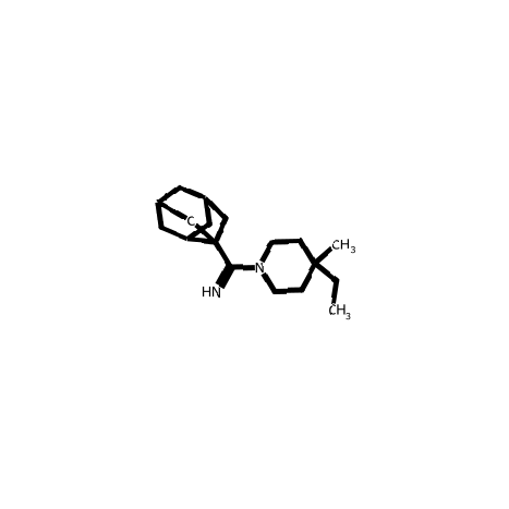 CCC1(C)CCN(C(=N)C23CC4CC(CC2C4)C3)CC1